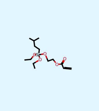 C=CC(=O)OCCO[Si](CCC(C)C)(OCC)OCC